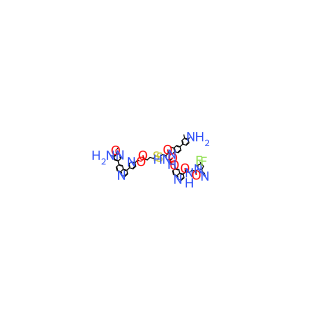 COc1ncc(-c2ccc3nccc(-c4ccc(COC(=O)CCCSSCC(NC(=O)COc5ccc6nccc(C(=O)NCC(=O)N7CC(F)(F)C[C@H]7C#N)c6c5)C(=O)Nc5ccc(-c6ccc(N)c(C)c6)cc5C)nc4)c3c2)cc1N